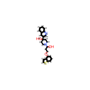 OC(CCOc1cccc2sccc12)N1CCC(O)(c2cnc3ccccc3c2)CC1